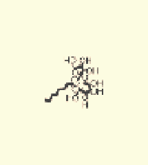 CCCCCCCC(=O)OC[C@@]1(O[C@H]2O[C@H](CO)[C@@H](O)[C@H](O)[C@H]2O)O[C@H](CO)[C@@H](O)[C@@H]1O